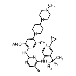 COc1cc(N2CCC(N3CCN(C)CC3)CC2)c(C)cc1Nc1ncc(Br)c(Nc2ccc(C3CC3)cc2P(C)(C)=O)n1